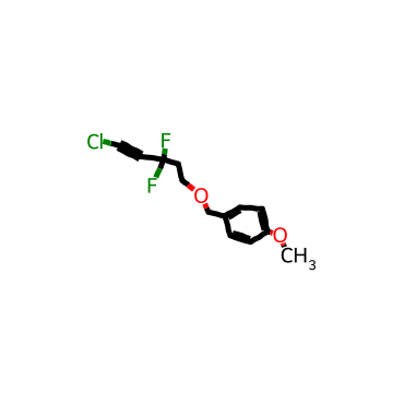 COc1ccc(COCCC(F)(F)C#CCl)cc1